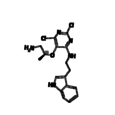 C[C@@H](CN)Oc1c(Cl)nc(Cl)nc1NCCc1c[nH]c2ccccc12